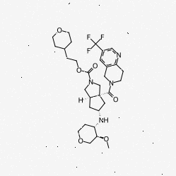 CO[C@H]1COCC[C@@H]1N[C@@H]1C[C@H]2CN(C(=O)OCCC3CCOCC3)C[C@@]2(C(=O)N2CCc3ncc(C(F)(F)F)cc3C2)C1